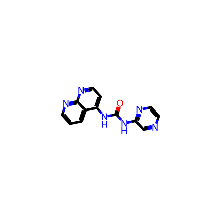 O=C(Nc1cnccn1)Nc1ccnc2ncccc12